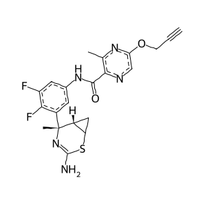 C#CCOc1cnc(C(=O)Nc2cc(F)c(F)c([C@@]3(C)N=C(N)SC4C[C@H]43)c2)c(C)n1